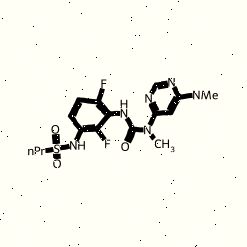 CCCS(=O)(=O)Nc1ccc(F)c(NC(=O)N(C)c2cc(NC)ncn2)c1F